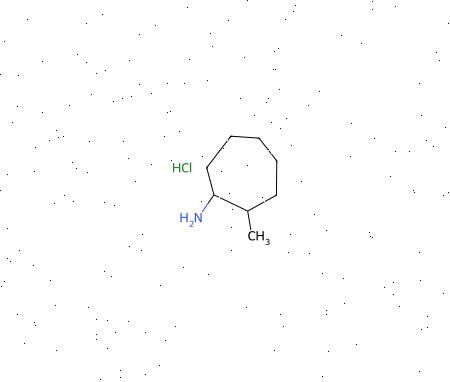 CC1CCCCCC1N.Cl